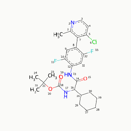 Cc1nccc(Cl)c1-c1cc(F)c(NC(=O)C(NC(=O)OC(C)(C)C)C2CCCCC2)cc1F